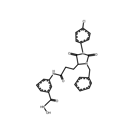 O=C(CCC1C(=O)N(c2ccc(Cl)cc2)C(=O)N1Cc1ccccc1)Nc1cccc(C(=O)NO)c1